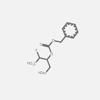 CCCCCCCCCCCC(OC(=O)OCc1ccccc1)C(F)C(=O)O